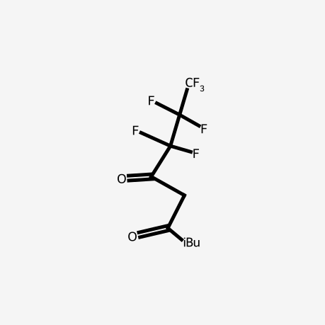 CCC(C)C(=O)CC(=O)C(F)(F)C(F)(F)C(F)(F)F